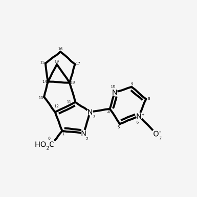 O=C(O)c1nn(-c2c[n+]([O-])ccn2)c2c1CC13CCCC21C3